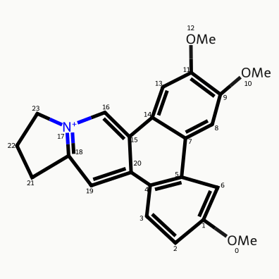 COc1ccc2c(c1)c1cc(OC)c(OC)cc1c1c[n+]3c(cc21)CCC3